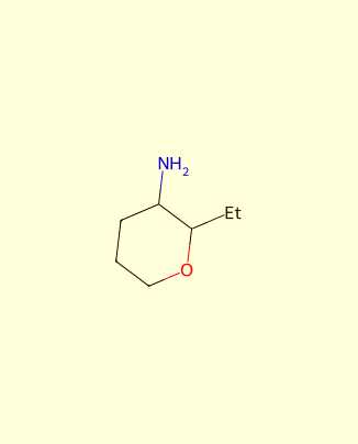 CCC1OCCCC1N